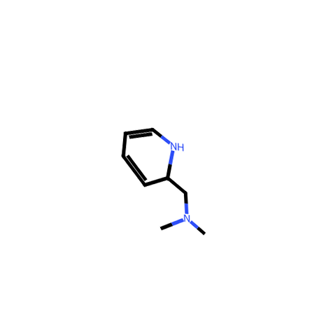 CN(C)C[C]1C=CC=CN1